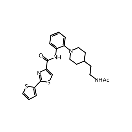 CC(=O)NCCC1CCN(c2ccccc2NC(=O)c2csc(-c3cccs3)n2)CC1